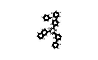 c1ccc(-c2cccc(C3=NC(c4ccc5c6ccccc6n(-c6ccccc6)c5c4)NC(c4ccc5ccccc5c4)=N3)c2)cc1